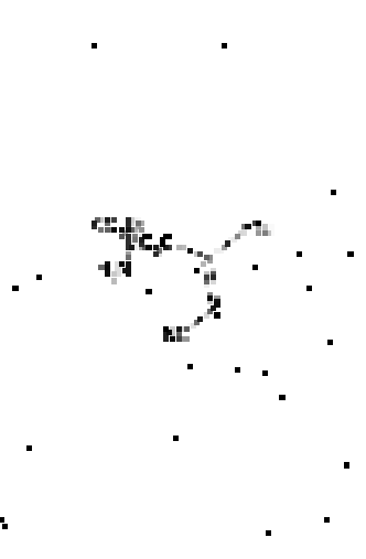 CCCC/C(=C/C#N)C(=O)O.CCOC(N)=O